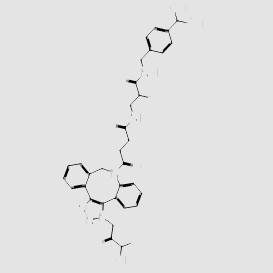 CC(C)C(=O)Cn1nnc2c1-c1ccccc1N(C(=O)CCC(=O)NCC(S)C(=O)NCc1ccc(C(C)C)cc1)Cc1ccccc1-2